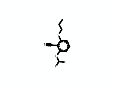 CCCSc1cccc(OC(F)F)c1C#N